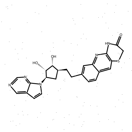 O=C1CSc2cc3ccc(CC[C@H]4C[C@@H](n5ccc6cncnc65)[C@H](O)[C@@H]4O)cc3nc2N1